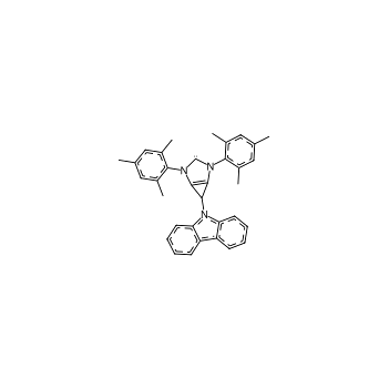 Cc1cc(C)c(N2[C]N(c3c(C)cc(C)cc3C)C3=C2C3n2c3ccccc3c3ccccc32)c(C)c1